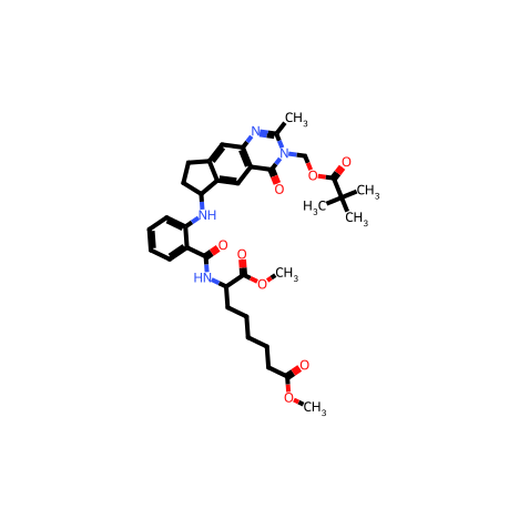 COC(=O)CCCCCC(NC(=O)c1ccccc1NC1CCc2cc3nc(C)n(COC(=O)C(C)(C)C)c(=O)c3cc21)C(=O)OC